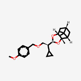 COc1ccc(COC[C@@H](B2O[C@@H]3C[C@@H]4C[C@@H](C4(C)C)[C@]3(C)O2)C2CC2)cc1